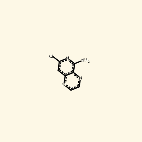 Nc1nc(Cl)cc2nccnc12